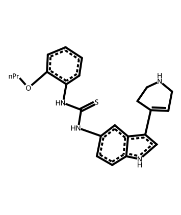 CCCOc1ccccc1NC(=S)Nc1ccc2[nH]cc(C3=CCNCC3)c2c1